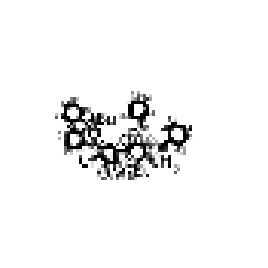 CC[C@H]1OC(O)(c2cc(CO[Si](c3ccccc3)(c3ccccc3)C(C)(C)C)c(Cl)c(OC)c2)[C@H](OCc2ccccc2)[C@@H](OCc2ccccc2)[C@@H]1C